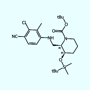 Cc1c(NC[C@@H]2[C@H](O[Si](C)(C)C(C)(C)C)CCCN2C(=O)OC(C)(C)C)ccc(C#N)c1Cl